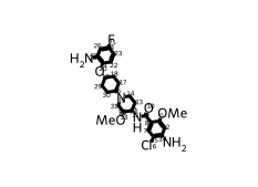 COc1cc(N)c(Cl)cc1C(=O)N[C@H]1CCN(C2CCC(Oc3ccc(F)cc3N)CC2)C[C@H]1OC